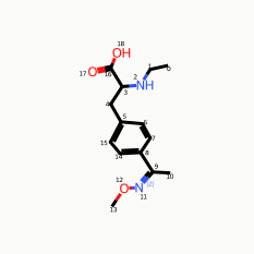 CCNC(Cc1ccc(/C(C)=N\OC)cc1)C(=O)O